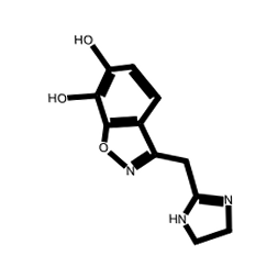 Oc1ccc2c(CC3=NCCN3)noc2c1O